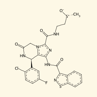 C[S@@+]([O-])CCNC(=O)c1nc(NC(=O)c2nsc3ccccc23)c2n1CC(=O)N[C@@H]2c1cc(F)ccc1Cl